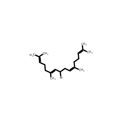 CC(C)=CCC/C(C)=C\CC(Br)/C=C(\C)CCC=C(C)C